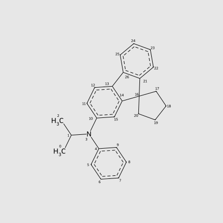 CC(C)N(c1ccccc1)c1ccc2c(c1)C1(CCCC1)c1ccccc1-2